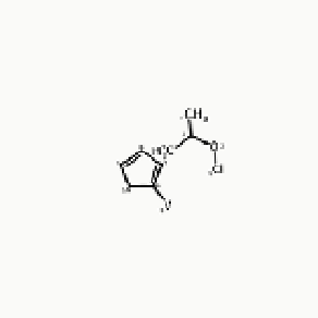 CC(C)OCl.[V][C]1=CC=CC1